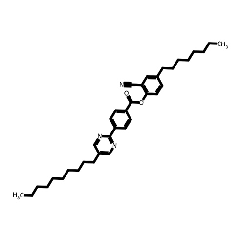 CCCCCCCCCCc1cnc(-c2ccc(C(=O)Oc3ccc(CCCCCCCC)cc3C#N)cc2)nc1